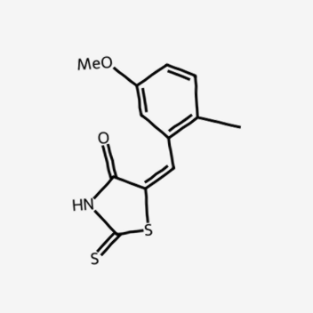 COc1ccc(C)c(C=C2SC(=S)NC2=O)c1